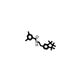 Cc1cc(C)cc(C(=O)NCCc2ccc3c(c2)C(C)(C)C(C)(C)C3(C)C)c1